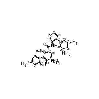 Cc1cc(F)c(-c2c(F)ccc(C(=O)Nc3cnccc3N3C[C@H](C)C[C@H](N)C3)c2F)c(F)c1.Cl.Cl